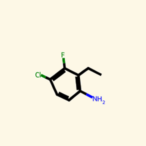 CCc1c(N)ccc(Cl)c1F